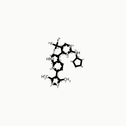 Cc1noc(C)c1-c1ccc2c(-c3nc(NC4CCCC4)ncc3C(F)(F)F)c[nH]c2n1